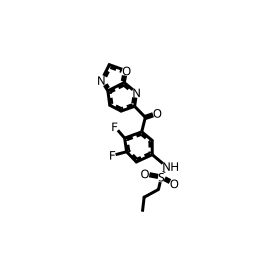 CCCS(=O)(=O)Nc1cc(F)c(F)c(C(=O)c2ccc3ncoc3n2)c1